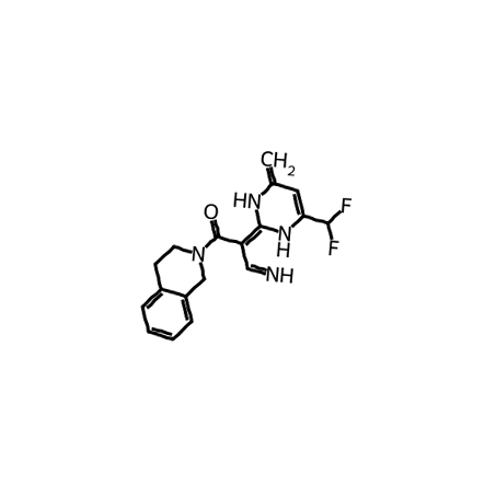 C=C1C=C(C(F)F)N/C(=C(\C=N)C(=O)N2CCc3ccccc3C2)N1